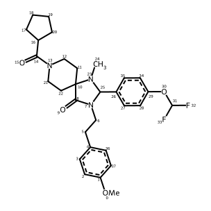 COc1ccc(CCN2C(=O)C3(CCN(C(=O)C4CCCC4)CC3)N(C)C2c2ccc(OC(F)F)cc2)cc1